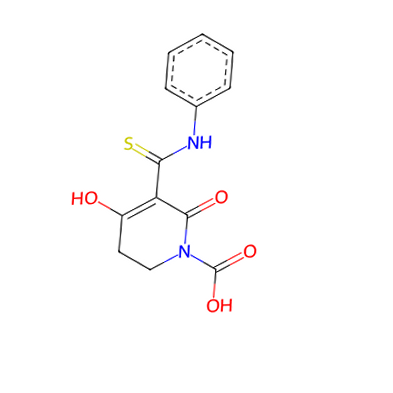 O=C(O)N1CCC(O)=C(C(=S)Nc2ccccc2)C1=O